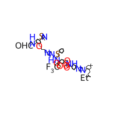 C=C(CC)CCC1=C(CN2CCN(c3ccc(C(=O)NS(=O)(=O)c4ccc(N[C@H](CCN5CCN(CCCCOc6cc(-c7scnc7C)ccc6CNC=O)CC5)CSc5ccccc5)c(S(=O)(=O)C(F)(F)F)c4)cc3)CC2)CCC(C)(C)C1